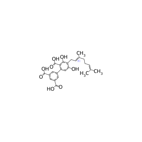 CC(C)=CCC/C(C)=C/Cc1c(O)cc(-c2cc(C(=O)O)cc(C(=O)O)c2)c(C(=O)O)c1O